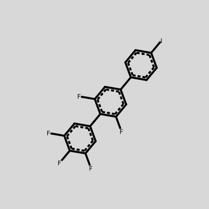 Fc1cc(-c2c(F)cc(-c3ccc(I)cc3)cc2F)cc(F)c1F